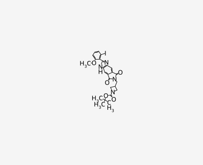 COc1cccc(I)c1-c1nc2cc3c(cc2[nH]1)C(=O)N(CC1CN(C(=O)OC(C)(C)C)C1)C3=O